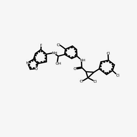 O=C(Nc1ccc(Cl)c(C(O)Nc2cc3ocnc3cc2F)c1)C1C(c2cc(Cl)cc(Cl)c2)C1(Cl)Cl